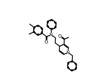 CC(=O)C1=CN(Cc2ccccc2)C=CC1CCN(C(=O)c1ccc(C)c(C)c1)c1ccccc1